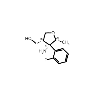 C[C@H]1OC[C@@H](CO)[C@]1(N)c1ccccc1F